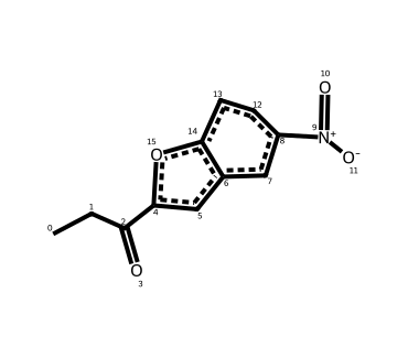 CCC(=O)c1cc2cc([N+](=O)[O-])ccc2o1